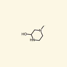 [CH2]N1CCNC(O)C1